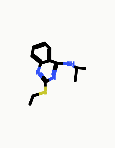 CCSc1nc(NC(C)C)c2ccccc2n1